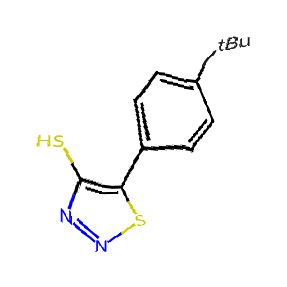 CC(C)(C)c1ccc(-c2snnc2S)cc1